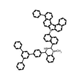 CN1c2ccccc2C(c2ccc(-c3cc(-c4ccccc4)cc(-c4ccccc4)c3)cc2)NC1c1cccc2c(-n3c4ccc5ccccc5c4c4c5cccc(-c6ccccc6)c5ccc43)cccc12